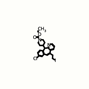 CCOC(=O)N1CCC(C2c3ccc(Cl)cc3C=C(CCI)c3cccnc32)CC1